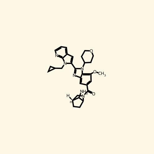 COc1cc(C(=O)N2C[C@H]3CCC2C3N)cc2nc(-c3cc4cccnc4n3CC3CC3)n(C3CCOCC3)c12